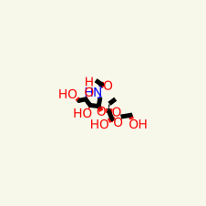 CC[C@@](OCCO)(OC(CNC(C)=O)[C@H](O)[C@H](O)CO)C(=O)O